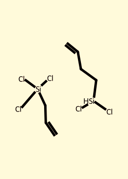 C=CCC[SiH](Cl)Cl.C=CC[Si](Cl)(Cl)Cl